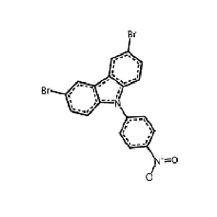 O=[N+]([O-])c1ccc(-n2c3ccc(Br)cc3c3cc(Br)ccc32)cc1